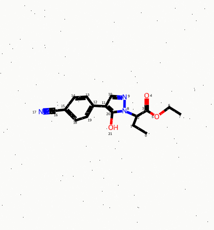 [CH2]CC(C(=O)OCC)n1ncc(-c2ccc(C#N)cc2)c1O